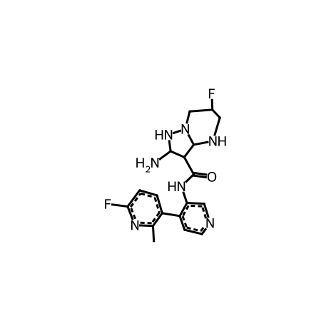 Cc1nc(F)ccc1-c1ccncc1NC(=O)C1C(N)NN2CC(F)CNC12